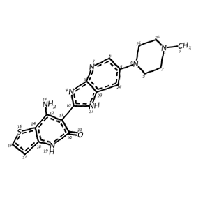 CN1CCN(c2cnc3nc(-c4c(N)c5sccc5[nH]c4=O)[nH]c3c2)CC1